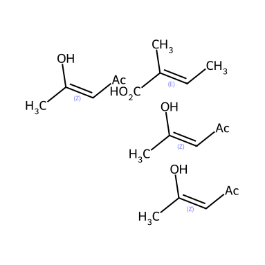 C/C=C(\C)C(=O)O.CC(=O)/C=C(/C)O.CC(=O)/C=C(/C)O.CC(=O)/C=C(/C)O